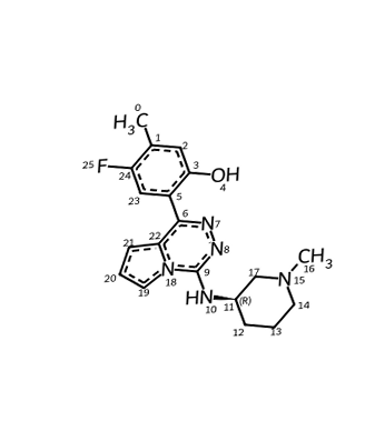 Cc1cc(O)c(-c2nnc(N[C@@H]3CCCN(C)C3)n3cccc23)cc1F